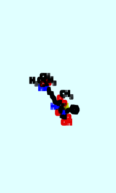 CCOC(=O)C(CCCCCCNC(=O)OC(C)(C)C)N[C@H]1CS[C@H](c2ccccc2)CN(CC(=O)O)C1=O